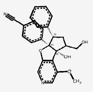 COc1cncc2c1[C@]1(O)C(CO)C[C@@H](c3ccccc3)[C@]1(c1ccc(C#N)cc1)O2